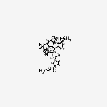 CCOC(=O)C1CCN(C(=O)C[C@H]2S[C@H](c3cccc(OC)c3OC)c3cc(Cl)ccc3-n3c2nnc3C(F)(F)F)C1